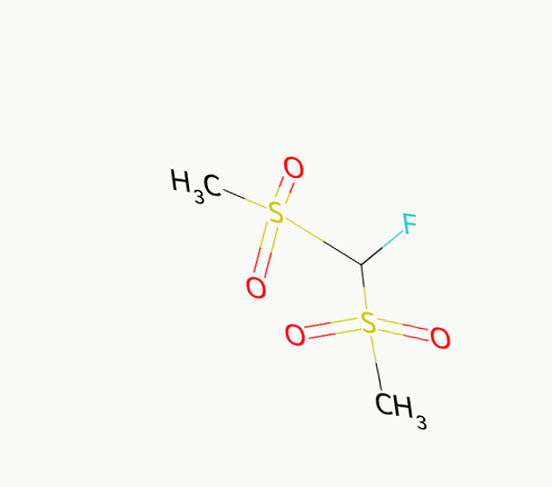 CS(=O)(=O)C(F)S(C)(=O)=O